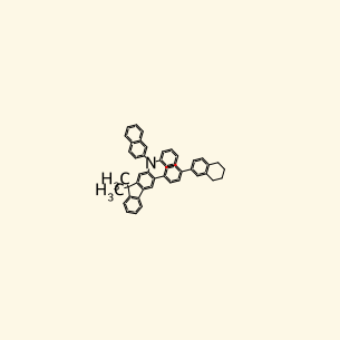 CC1(C)c2ccccc2-c2cc(-c3ccc(-c4ccc5c(c4)CCCC5)cc3)c(N(c3ccccc3)c3ccc4ccccc4c3)cc21